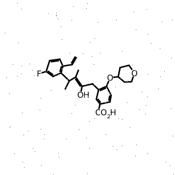 C=Cc1ccc(F)cc1C(C)C(C)=C(O)Cc1cc(C(=O)O)ccc1OC1CCOCC1